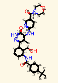 Cc1c(-c2cccc(NC(=O)c3ccc(C(C)(C)C)cc3)c2CO)n[nH]c(=O)c1Nc1ccc(C(=O)N2CCOCC2)cn1